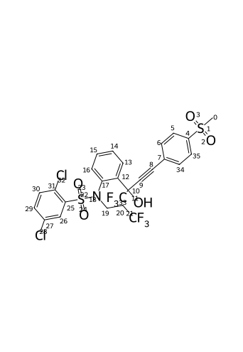 CS(=O)(=O)c1ccc(C#CC(O)(c2ccccc2N(CCC(F)(F)F)S(=O)(=O)c2cc(Cl)ccc2Cl)C(F)(F)F)cc1